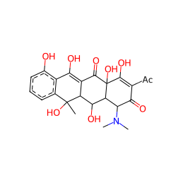 CC(=O)C1=C(O)C2(O)C(=O)C3=C(O)c4c(O)cccc4C(C)(O)C3C(O)C2C(N(C)C)C1=O